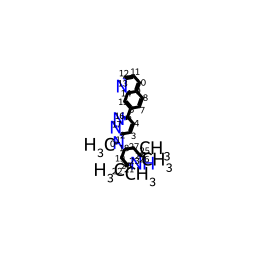 CN(c1ccc(-c2ccc3cccnc3c2)nn1)C1CC(C)(C)NC(C)(C)C1